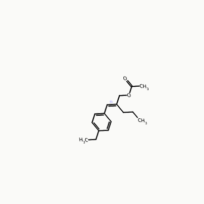 CCC/C(=C\c1ccc(CC)cc1)COC(C)=O